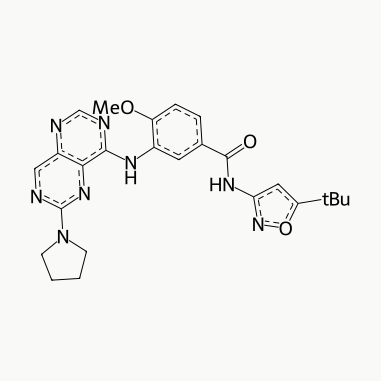 COc1ccc(C(=O)Nc2cc(C(C)(C)C)on2)cc1Nc1ncnc2cnc(N3CCCC3)nc12